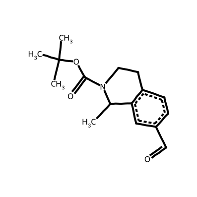 CC1c2cc(C=O)ccc2CCN1C(=O)OC(C)(C)C